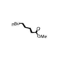 CCCCC=CC=CC(=O)OC